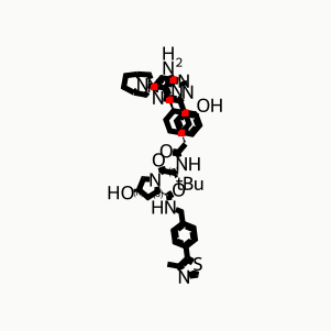 Cc1ncsc1-c1ccc(CNC(=O)[C@@H]2C[C@@H](O)CN2C(=O)[C@@H](NC(=O)C[C@H]2CC[C@H](c3nccc(N4C5CCC4CN(c4cc(-c6ccccc6O)nnc4N)C5)n3)CC2)C(C)(C)C)cc1